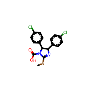 CSC1=NC(c2ccc(Cl)cc2)C(c2ccc(Cl)cc2)N1C(=O)O